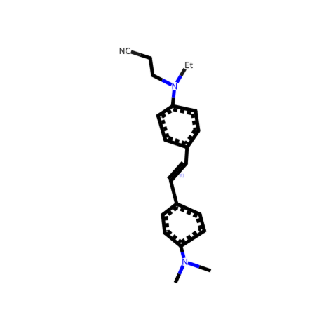 CCN(CCC#N)c1ccc(/C=C/c2ccc(N(C)C)cc2)cc1